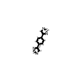 c1cc(-c2cnsn2)ccc1-c1cnsn1